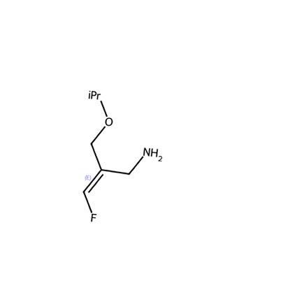 CC(C)OC/C(=C/F)CN